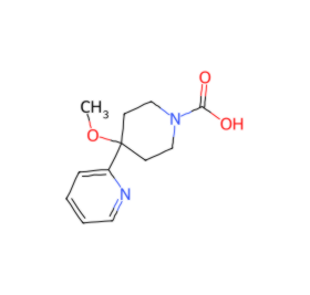 COC1(c2ccccn2)CCN(C(=O)O)CC1